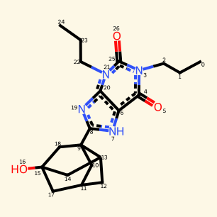 CCCn1c(=O)c2[nH]c(C34CC5CC3CC(O)(C5)C4)nc2n(CCC)c1=O